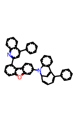 C1=CC2C=C(C(c3ccccc3)=C1)c1ccccc1N2c1ccc2c(c1)oc1cccc(-c3cc(-c4ccccc4)c4ccccc4n3)c12